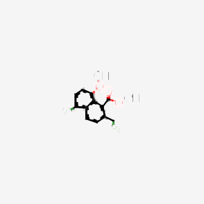 COC(=O)c1c(CBr)ccc2c(Br)ccc(OC)c12